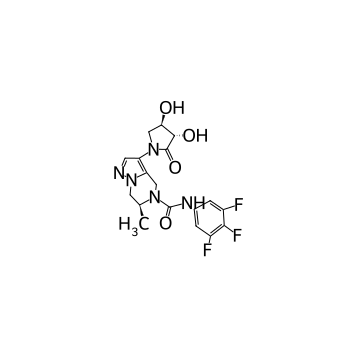 C[C@H]1Cn2ncc(N3C[C@@H](O)[C@H](O)C3=O)c2CN1C(=O)Nc1cc(F)c(F)c(F)c1